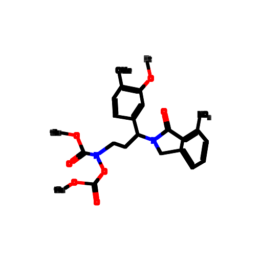 CCOc1cc(C(CCN(OC(=O)OC(C)(C)C)C(=O)OC(C)(C)C)N2Cc3cccc([N+](=O)[O-])c3C2=O)ccc1OC